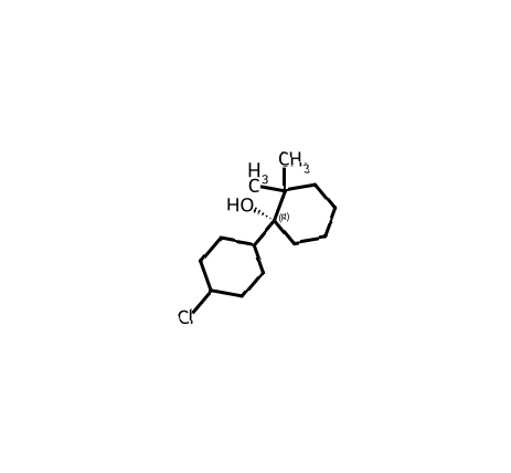 CC1(C)CCCC[C@@]1(O)C1CCC(Cl)CC1